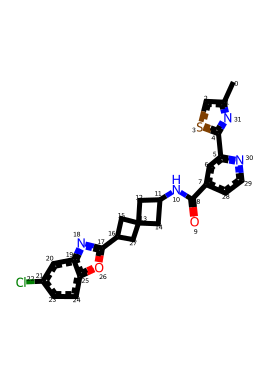 Cc1csc(-c2cc(C(=O)NC3CC4(C3)CC(c3nc5cc(Cl)ccc5o3)C4)ccn2)n1